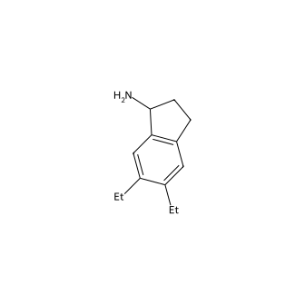 CCc1cc2c(cc1CC)C(N)CC2